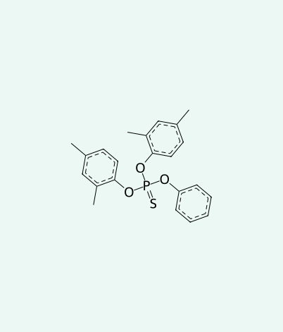 Cc1ccc(OP(=S)(Oc2ccccc2)Oc2ccc(C)cc2C)c(C)c1